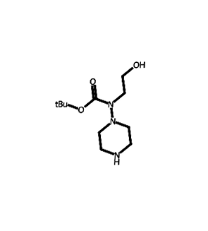 CC(C)(C)OC(=O)N(CCO)N1CCNCC1